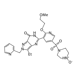 CCc1c2nc(-c3cc(S(=O)(=O)N4CC[NH+]([O-])CC4)cnc3OCCOC)[nH]c(=O)c2nn1Cc1ccccn1